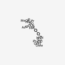 COC(=O)N[C@H](C(=O)N1CC2(CC1c1ncc(-c3ccc(-c4ccc(-c5cnc([C@@H]6CCCN6C(=O)[C@@H](NC(=O)OC)C(C)C)[nH]5)cc4)cc3)[nH]1)CN(C(C)=O)C2)C(C)C